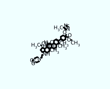 C=C(C)[C@@H]1CC[C@]2(NCCN3CCS(=O)(=O)CC3)CC[C@]3(C)[C@H](CCC4[C@@]5(C)CC=C(C6=CCC(COc7nsnc7C)(C(=O)OCC)CC6)C(C)(C)C5CC[C@]43C)C12